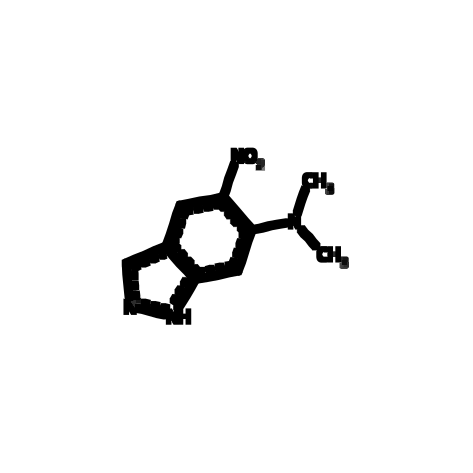 CN(C)c1cc2[nH]ncc2cc1[N+](=O)[O-]